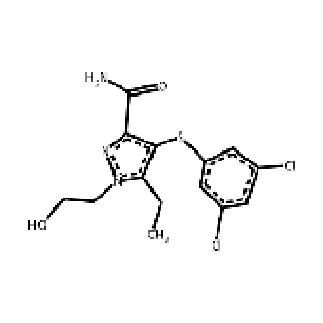 CCc1c(Sc2cc(Cl)cc(Cl)c2)c(C(N)=O)nn1CCO